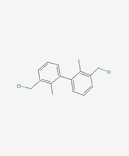 Cc1c(CCl)cccc1-c1cccc(CCl)c1C